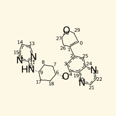 C1=C(c2cc(O[C@H]3CC[C@@H](Nc4ncccn4)CC3)c3nccnc3c2)CCOC1